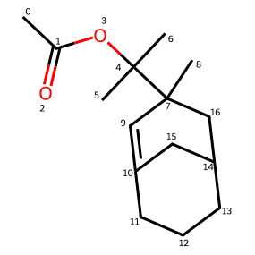 CC(=O)OC(C)(C)C1(C)C=C2CCCC(C2)C1